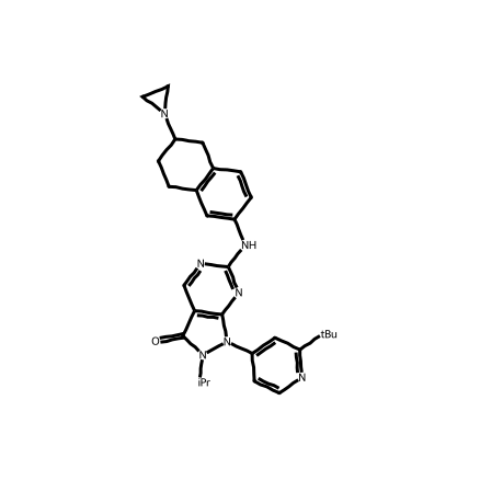 CC(C)n1c(=O)c2cnc(Nc3ccc4c(c3)CCC(N3CC3)C4)nc2n1-c1ccnc(C(C)(C)C)c1